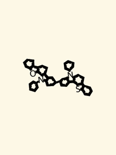 c1ccc(-n2c3cc(-c4ccc5c(c4)c4ccc6c7ccccc7oc6c4n5-c4ccccc4)ccc3c3c4sc5ccccc5c4ccc32)cc1